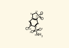 NS(=O)(=O)c1cc2c(cc1Cl)CCS2(=O)=O